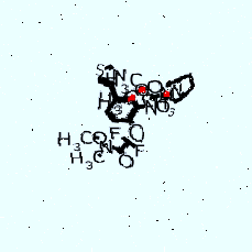 CON(C)C(=O)C(F)(F)Oc1ccc(-c2cscn2)c2oc(N3CC4CCC(C3)N4C(=O)OC(C)(C)C)nc12